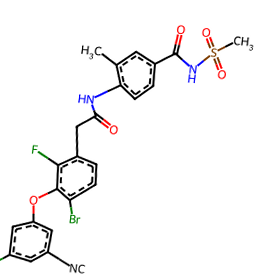 [C-]#[N+]c1cc(Cl)cc(Oc2c(Br)ccc(CC(=O)Nc3ccc(C(=O)NS(C)(=O)=O)cc3C)c2F)c1